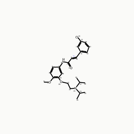 COc1ccc(NC(=O)/C=C/c2cccc(Cl)c2)cc1OCCN(C(C)C)C(C)C